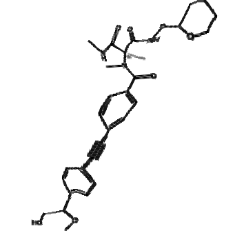 CNC(=O)[C@@](C)(C(=O)NOC1CCCCO1)N(C)C(=O)c1ccc(C#Cc2ccc(C(CO)OC)cc2)cc1